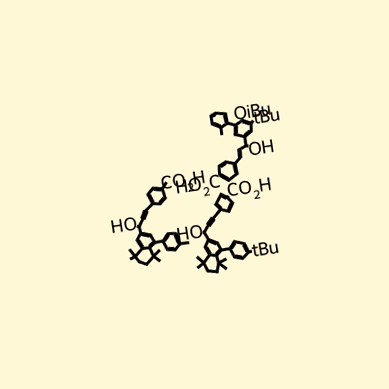 CC(C)(C)c1ccc(-c2cc(C(O)C#Cc3ccc(C(=O)O)cc3)cc3c2C(C)(C)CCC3(C)C)cc1.Cc1ccc(-c2cc(C(O)C#Cc3ccc(C(=O)O)cc3)cc3c2C(C)(C)CCC3(C)C)cc1.Cc1ccccc1-c1cc(C(O)C=Cc2ccc(C(=O)O)cc2)cc(C(C)(C)C)c1OCC(C)C